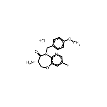 COc1ccc(CN2C(=O)[C@@H](N)COc3cc(F)cnc32)cc1.Cl